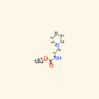 CC(C)(C)OC(=O)NCCN1CC[CH]CC1